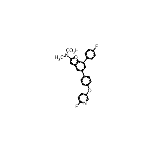 CN(C(=O)O)c1cc2cc(-c3ccc(Oc4ccc(F)nc4)cc3)cc(-c3ccc(F)cc3)c2o1